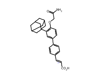 NC(=O)COc1ccc(-c2ccc(/C=C/C(=O)O)cc2)cc1C12CC3CC(CC(C3)C1)C2